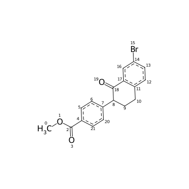 COC(=O)c1ccc(C2CCc3ccc(Br)cc3C2=O)cc1